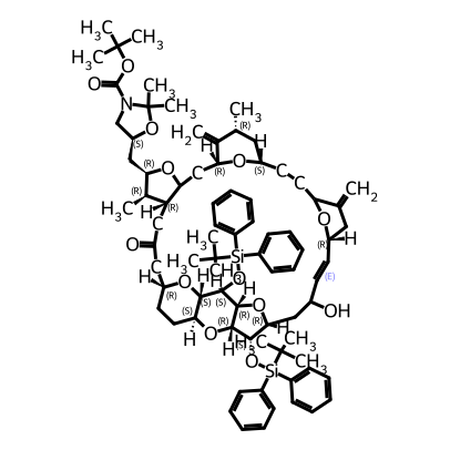 C=C1C[C@@H]2/C=C/C(O)C[C@H]3O[C@H]4[C@@H](O[Si](c5ccccc5)(c5ccccc5)C(C)(C)C)[C@H]5O[C@H](CC[C@@H]5O[C@H]4[C@H]3O[Si](c3ccccc3)(c3ccccc3)C(C)(C)C)CC(=O)C[C@H]3C(C[C@H]4O[C@@H](CCC1O2)C[C@@H](C)C4=C)O[C@H](C[C@H]1CN(C(=O)OC(C)(C)C)C(C)(C)O1)[C@@H]3C